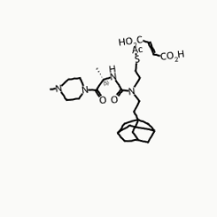 CC(=O)SCCN(CCC12CC3CC(CC(C3)C1)C2)C(=O)N[C@@H](C)C(=O)N1CCN(C)CC1.O=C(O)C=CC(=O)O